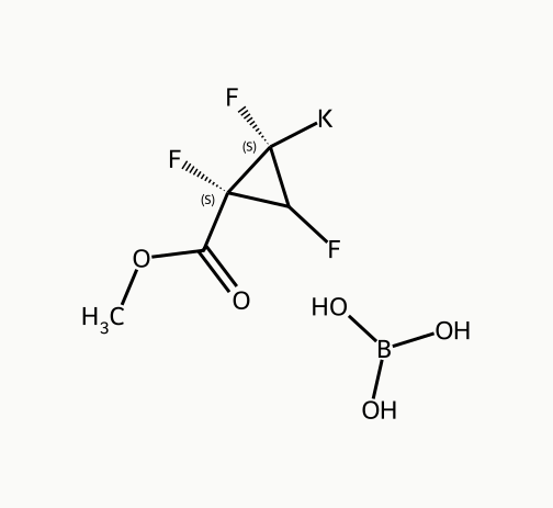 COC(=O)[C@]1(F)C(F)[C@]1(F)[K].OB(O)O